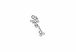 CN1Sc2ccccc2C(O)=C1C(=O)Nc1cc(CSCc2ccc(Cl)c(Cl)c2)on1